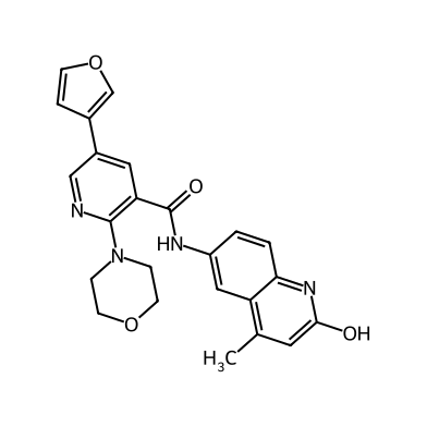 Cc1cc(O)nc2ccc(NC(=O)c3cc(-c4ccoc4)cnc3N3CCOCC3)cc12